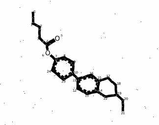 CCCCC(=O)Oc1ccc(-c2ccc3c(c2)CCC(CC)C3)cc1